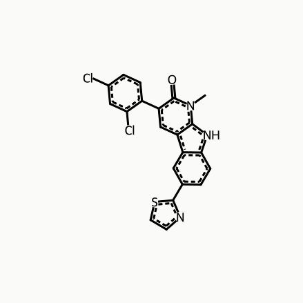 Cn1c(=O)c(-c2ccc(Cl)cc2Cl)cc2c3cc(-c4nccs4)ccc3[nH]c21